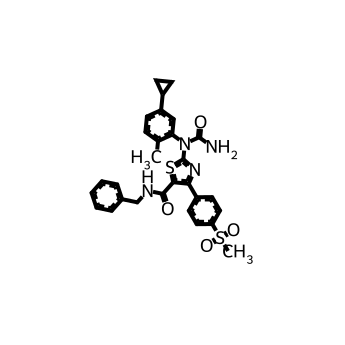 Cc1ccc(C2CC2)cc1N(C(N)=O)c1nc(-c2ccc(S(C)(=O)=O)cc2)c(C(=O)NCc2ccccc2)s1